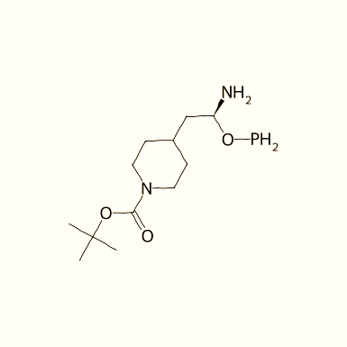 CC(C)(C)OC(=O)N1CCC(C[C@@H](N)OP)CC1